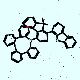 CC1(C)c2ccccc2-c2c(-n3c4ccccc4c4ccccc4c4ccccc4c4ccccc43)ccc(-c3cccc4c3oc3ccccc34)c21